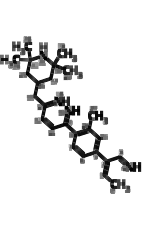 C/C=C(\C=N)c1ccc(C(=N)/C=C\C(=N)CC2CC(C)(C)NC(C)(C)C2)c(C)c1